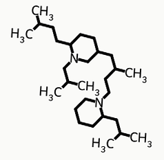 CC(C)CCC1CCC(CC(C)CCN2CCCCC2CC(C)C)CN1CC(C)C